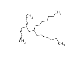 C=C/C=C\C(=C/C=C)CC(CCCCCCC)CCCCCCC